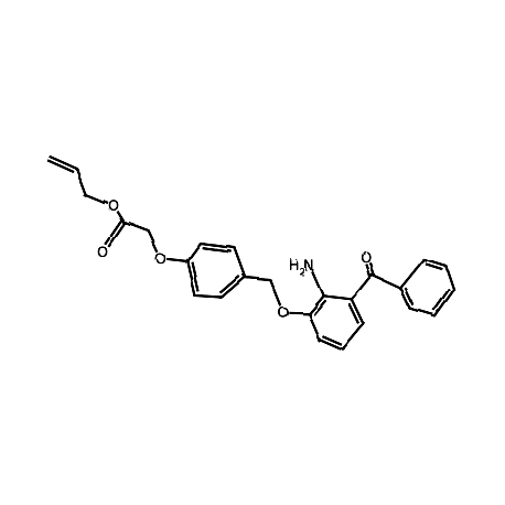 C=CCOC(=O)COc1ccc(COc2cccc(C(=O)c3ccccc3)c2N)cc1